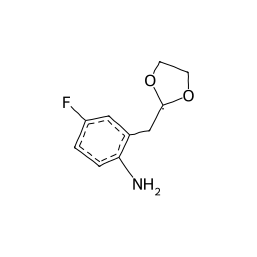 Nc1ccc(F)cc1C[C]1OCCO1